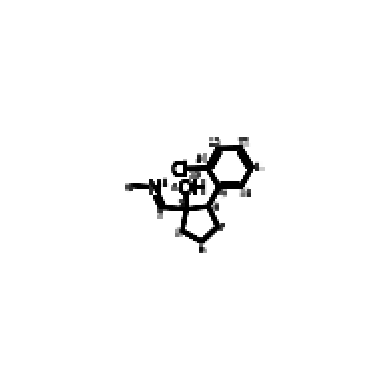 CN=CC1(O)CCCC1c1ccccc1Cl